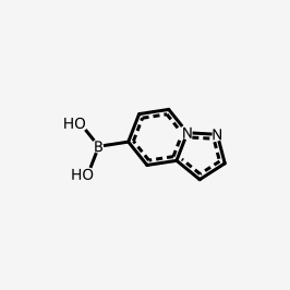 OB(O)c1ccn2nccc2c1